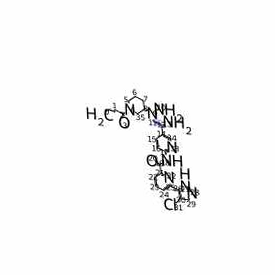 C=CC(=O)N1CCCC(N(N)/C=C(\N)c2ccc(NC(=O)c3cccc(-c4[nH]ncc4Cl)n3)nc2)C1